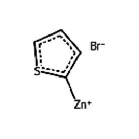 [Br-].[Zn+][c]1cccs1